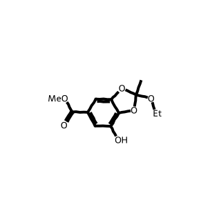 CCOC1(C)Oc2cc(C(=O)OC)cc(O)c2O1